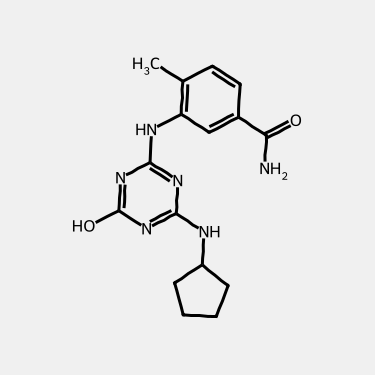 Cc1ccc(C(N)=O)cc1Nc1nc(O)nc(NC2CCCC2)n1